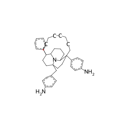 Nc1ccc(CC23CCC4(c5ccccc5)CCCCCCCCC(c5ccc(N)cc5)(CC2)C2CCCC4N23)cc1